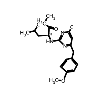 COC(=O)[C@H](CC(C)C)Nc1nc(Cl)cc(Cc2ccc(OC)cc2)n1